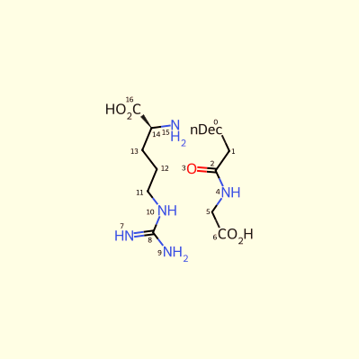 CCCCCCCCCCCC(=O)NCC(=O)O.N=C(N)NCCC[C@H](N)C(=O)O